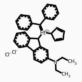 CCN(CC)c1ccc2c(c1)[CH]([Hf+2](=[C](c1ccccc1)c1ccccc1)[CH]1C=CC=C1)c1ccccc1-2.[Cl-].[Cl-]